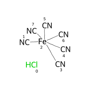 Cl.N#[C][Fe]([C]#N)([C]#N)([C]#N)([C]#N)[C]#N